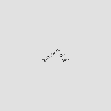 [O-2].[O-2].[O-2].[O-2].[Th+4].[W+4]